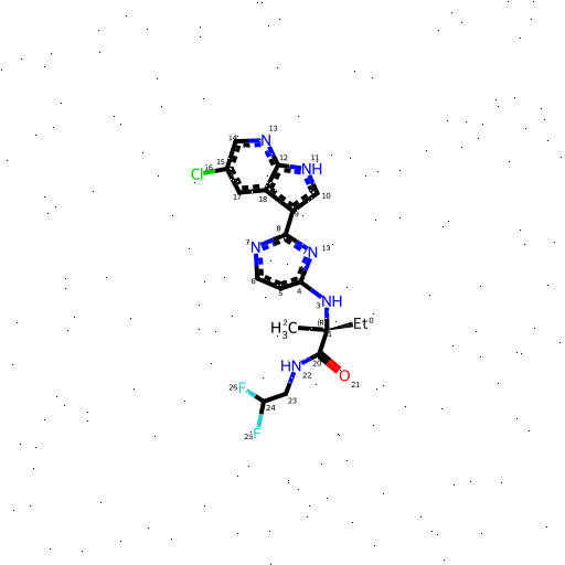 CC[C@@](C)(Nc1ccnc(-c2c[nH]c3ncc(Cl)cc23)n1)C(=O)NCC(F)F